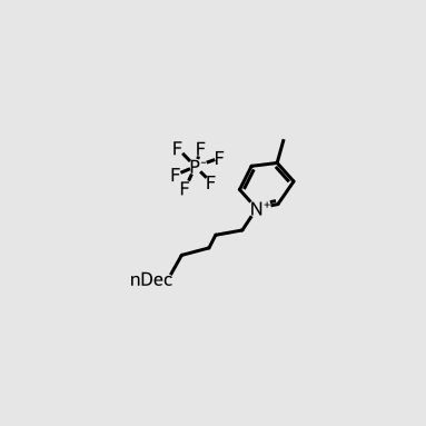 CCCCCCCCCCCCCC[n+]1ccc(C)cc1.F[P-](F)(F)(F)(F)F